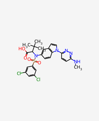 CNc1ccc(-n2ccc3cc(N(C(C(=O)O)C(C)(C)C)S(=O)(=O)c4cc(Cl)cc(Cl)c4)ccc32)nn1